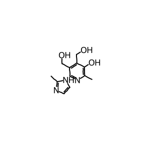 Cc1ncc(CO)c(CO)c1O.Cc1ncc[nH]1